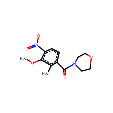 COc1c([N+](=O)[O-])ccc(C(=O)N2CCOCC2)c1C